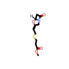 COC(=O)CCSC/C=C1\CN2C(=O)C[C@H]2O1